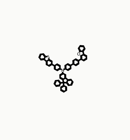 c1ccc(C2(c3ccccc3)c3ccccc3-c3cc(N(c4ccc(-c5ccc(-c6cccc7c6oc6ccccc67)cc5)cc4)c4ccc(-c5ccc6c(c5)sc5ccccc56)cc4)ccc32)cc1